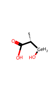 C[C@H]([GeH2][OH])C(=O)O